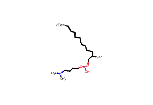 CCCCCCCCCCCCCCCCCCCC(COP(O)OCCCCN(C)C)OC(C)=O